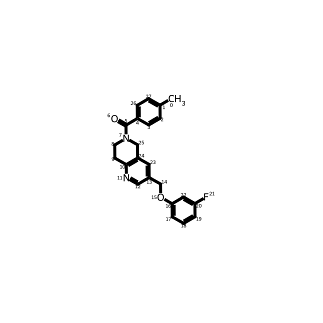 Cc1ccc(C(=O)N2CCc3ncc(COc4cccc(F)c4)cc3C2)cc1